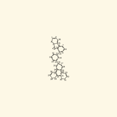 C1=CCC2Sc3c(cccc3-c3cccc(-c4ccc5c6c(c7c(c5c4)C=CCC7)CCC=C6)c3)C2=C1